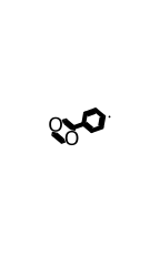 [c]1ccc(C2=COC=CO2)cc1